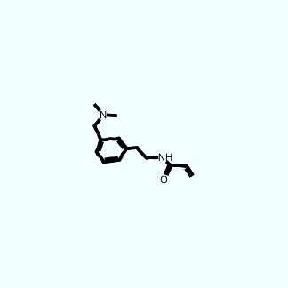 C=CC(=O)NCCc1cccc(CN(C)C)c1